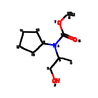 CC(CO)N(C(=O)OC(C)(C)C)C1CCCC1